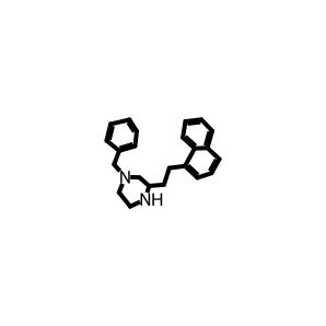 c1ccc(CN2CCNC(CCc3cccc4ccccc34)C2)cc1